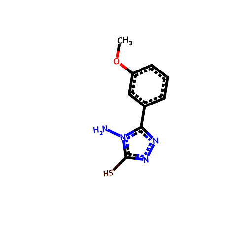 COc1cccc(-c2nnc(S)n2N)c1